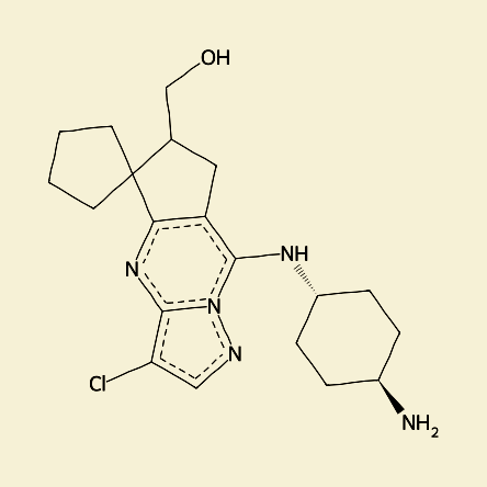 N[C@H]1CC[C@H](Nc2c3c(nc4c(Cl)cnn24)C2(CCCC2)C(CO)C3)CC1